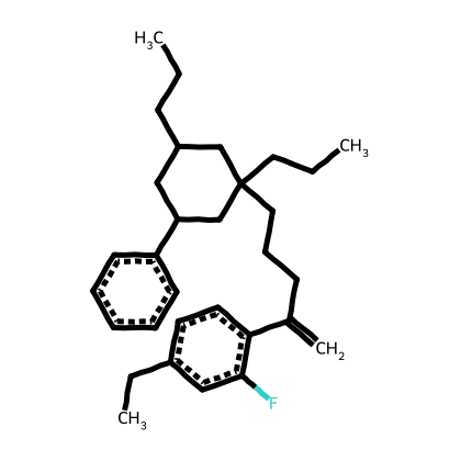 C=C(CCCC1(CCC)CC(CCC)CC(c2ccccc2)C1)c1ccc(CC)cc1F